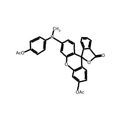 CC(=O)Oc1ccc(N(C)c2ccc3c(c2)Oc2cc(OC(C)=O)ccc2C32OC(=O)c3ccccc32)cc1